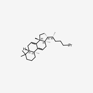 CC(C)CCC[C@@H](C)[C@H]1CC[C@@]2(C)C3=CC[C@H]4C(C)(C)CCC[C@]4(C)C3=CC[C@]12C